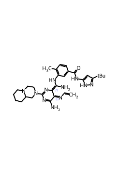 C=C/N=C1/C(N)=NC(N2CCN3CCCCC3C2)=N/C1=C(/N)Nc1cc(C(=O)Nc2cc(C(C)(C)C)n[nH]2)ccc1C